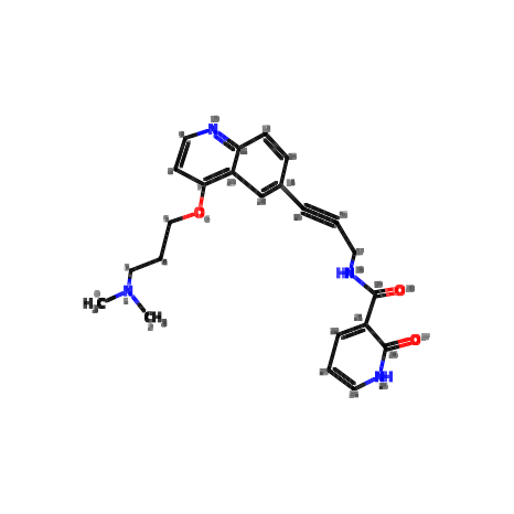 CN(C)CCCOc1ccnc2ccc(C#CCNC(=O)c3ccc[nH]c3=O)cc12